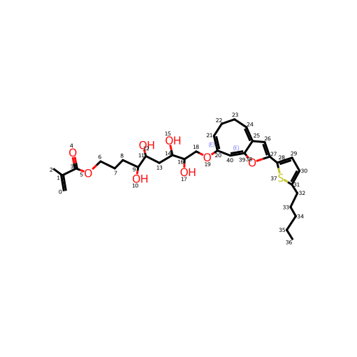 C=C(C)C(=O)OCCCC(O)C(O)CC(O)C(O)COC1=C/CCC=c2cc(-c3ccc(CCCCC)s3)o\c2=C\1